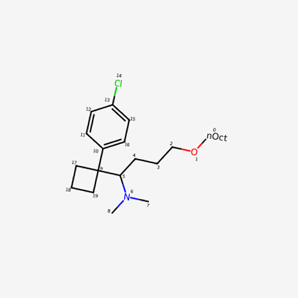 CCCCCCCCOCCCC(N(C)C)C1(c2ccc(Cl)cc2)CCC1